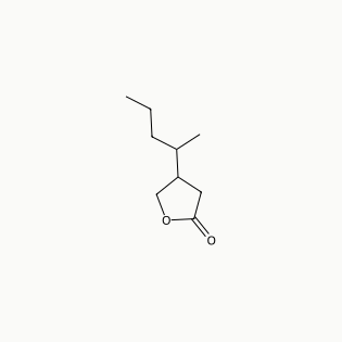 CCCC(C)C1COC(=O)C1